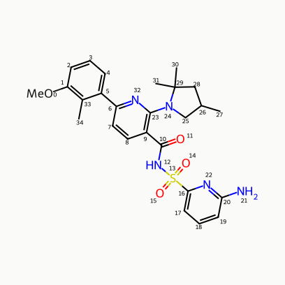 COc1cccc(-c2ccc(C(=O)NS(=O)(=O)c3cccc(N)n3)c(N3CC(C)CC3(C)C)n2)c1C